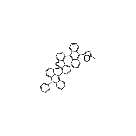 Cc1ccc(-c2c3ccccc3c(-c3cccc4sc5c(-c6c7ccccc7c(-c7ccccc7)c7ccccc67)cccc5c34)c3ccccc23)o1